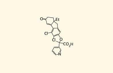 CCC12CCC(=O)C=C1c1c(cc(OC(C)(C(=O)O)c3cccnc3)c(Cl)c1Cl)C2